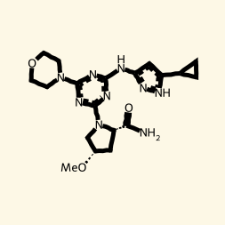 CO[C@H]1C[C@@H](C(N)=O)N(c2nc(Nc3cc(C4CC4)[nH]n3)nc(N3CCOCC3)n2)C1